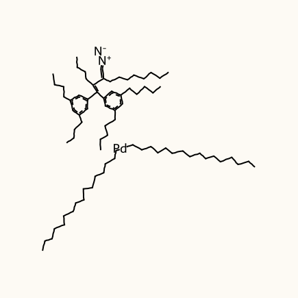 CCCCCCCCC(=C=[N+]=[N-])C(CCCC)=C(c1cc(CCCC)cc(CCCC)c1)c1cc(CCCCC)cc(CCCCC)c1.CCCCCCCCCCCCCCC[CH2][Pd][CH2]CCCCCCCCCCCCCCC